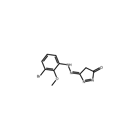 COc1c(Br)cccc1NN=C1CC(=O)N=N1